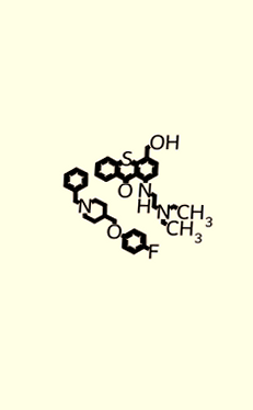 CCN(CC)CCNc1ccc(CO)c2sc3ccccc3c(=O)c12.Fc1ccc(OCC2CCN(Cc3ccccc3)CC2)cc1